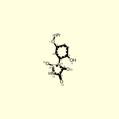 CCCOc1ccc(O)c(-n2c(=O)c(=O)[nH][s+]2[O-])c1